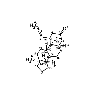 C=C=CC1CC(=O)C[C@@H]2CC[C@H]3[C@@H]4CCC[C@@]4(C)CC[C@@H]3[C@@]12C